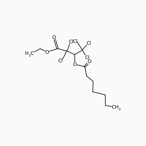 CCCCCCC(=O)OC(C(Cl)(Cl)Cl)C(Cl)(Cl)C(=O)OCC